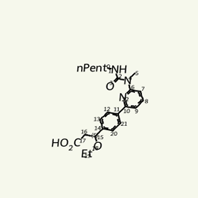 CCCCCNC(=O)N(C)c1cccc(-c2ccc([C@H](CC(=O)O)OCC)cc2)n1